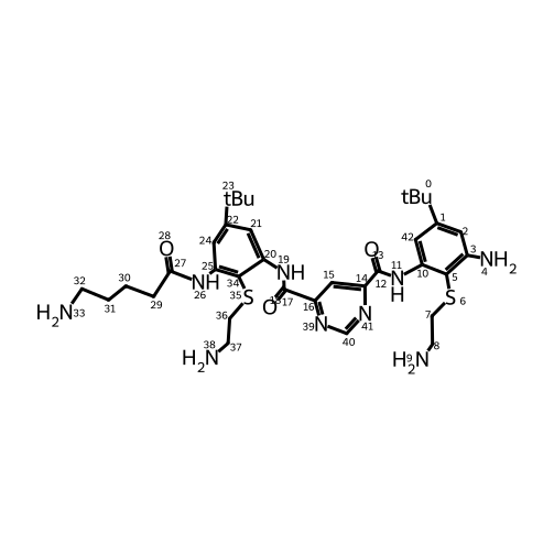 CC(C)(C)c1cc(N)c(SCCN)c(NC(=O)c2cc(C(=O)Nc3cc(C(C)(C)C)cc(NC(=O)CCCCN)c3SCCN)ncn2)c1